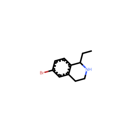 CCC1NCCc2cc(Br)ccc21